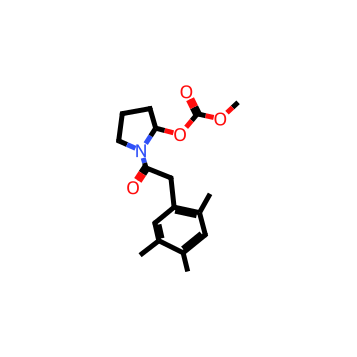 COC(=O)OC1CCCN1C(=O)Cc1cc(C)c(C)cc1C